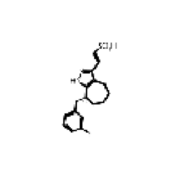 O=S(=O)(O)C=Cc1n[nH]c2c1CCCC[C@H]2Cc1cccc(F)c1